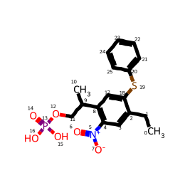 CCc1cc([N+](=O)[O-])c(C(C)COP(=O)(O)O)cc1Sc1ccccc1